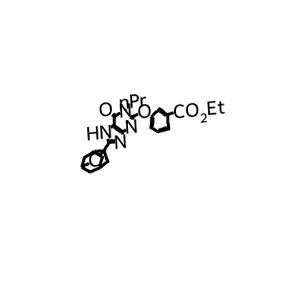 CCCn1c(Oc2cccc(C(=O)OCC)c2)nc2nc(C34CC5CC(CC3C5)C4)[nH]c2c1=O